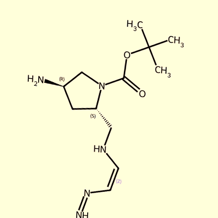 CC(C)(C)OC(=O)N1C[C@H](N)C[C@H]1CN/C=C\N=N